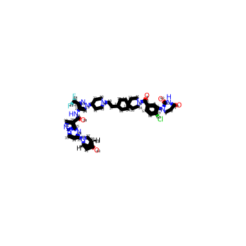 O=C1CCN(c2cc(C(=O)N3CCC4(CCC(CCN5CCC(n6cc(NC(=O)c7cnn8ccc(N9C[C@H]%10C[C@@H]9CC%10=O)nc78)c(C(F)F)n6)CC5)CC4)CC3)ccc2Cl)C(=O)N1